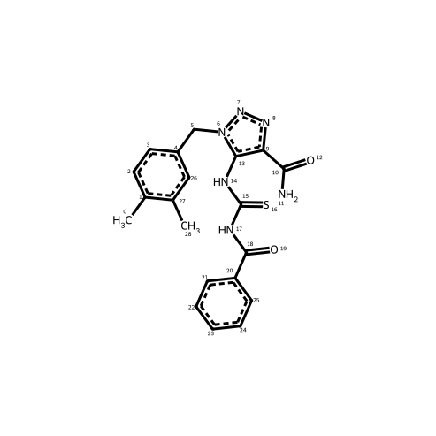 Cc1ccc(Cn2nnc(C(N)=O)c2NC(=S)NC(=O)c2ccccc2)cc1C